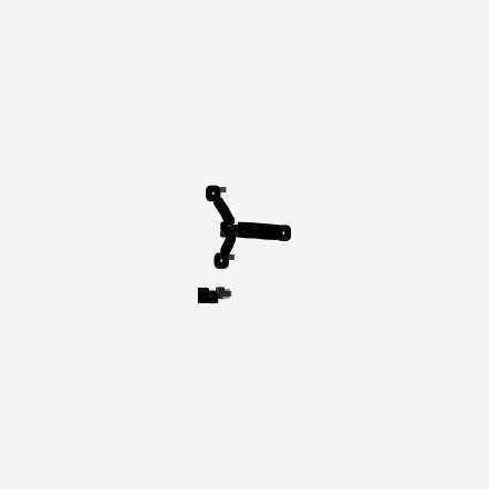 O=[Se]([O-])[O-].[Ba+2]